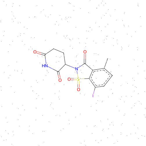 Cc1ccc(I)c2c1C(=O)N(C1CCC(=O)NC1=O)S2(=O)=O